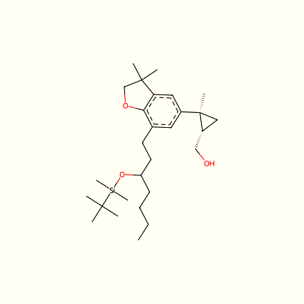 CCCCC(CCc1cc([C@@]2(C)C[C@@H]2CO)cc2c1OCC2(C)C)O[Si](C)(C)C(C)(C)C